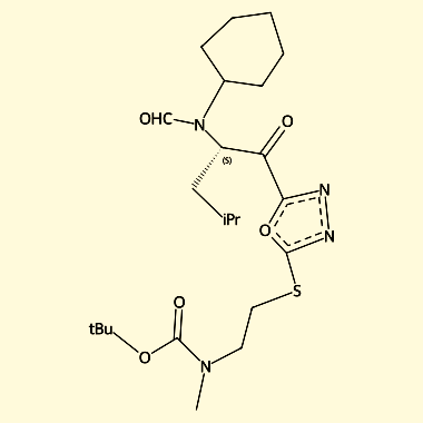 CC(C)C[C@@H](C(=O)c1nnc(SCCN(C)C(=O)OC(C)(C)C)o1)N(C=O)C1CCCCC1